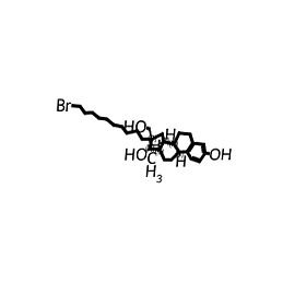 C[C@]12CC[C@@H]3c4ccc(O)cc4CC[C@H]3[C@@H]1C[C@@](CO)(CCCCCCCCCCBr)[C@@H]2O